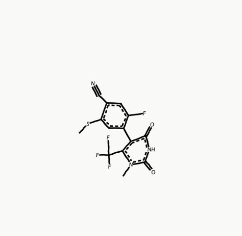 CSc1cc(-c2c(C(F)(F)F)n(C)c(=O)[nH]c2=O)c(F)cc1C#N